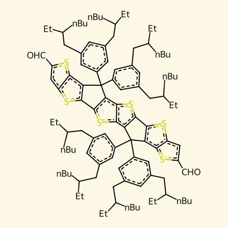 CCCCC(CC)Cc1cc(CC(CC)CCCC)cc(C2(c3cc(CC(CC)CCCC)cc(CC(CC)CCCC)c3)c3c(sc4cc(C=O)sc34)-c3sc4c5c(sc4c32)-c2sc3cc(C=O)sc3c2C5(c2cc(CC(CC)CCCC)cc(CC(CC)CCCC)c2)c2cc(CC(CC)CCCC)cc(CC(CC)CCCC)c2)c1